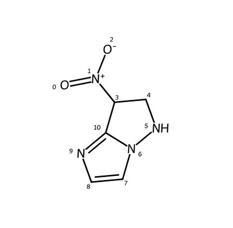 O=[N+]([O-])C1CNn2ccnc21